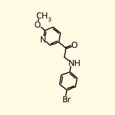 COc1ccc(C(=O)CNc2ccc(Br)cc2)cn1